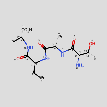 CC(C)C[C@H](NC(=O)[C@@H](NC(=O)[C@@H](N)[C@@H](C)O)C(C)C)C(=O)N[C@H](C)C(=O)O